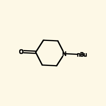 CCCCN1CCC(=O)CC1